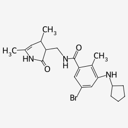 CC1=CC(C)C(CNC(=O)c2cc(Br)cc(NC3CCCC3)c2C)C(=O)N1